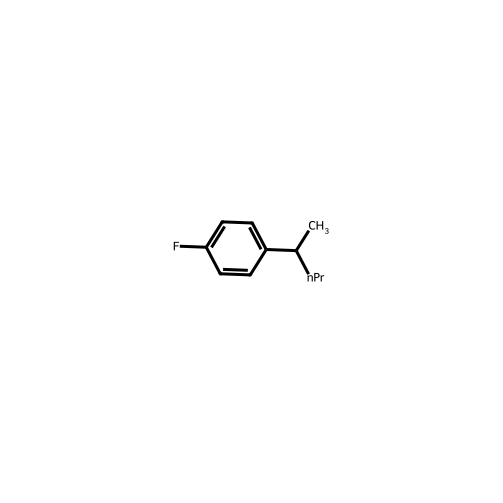 CCCC(C)c1ccc(F)cc1